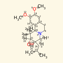 [2H]C1([2H])N2CCc3cc(OC)c(OC)cc3C2([2H])C([2H])([2H])C([2H])(O)C1([2H])CC(C)C